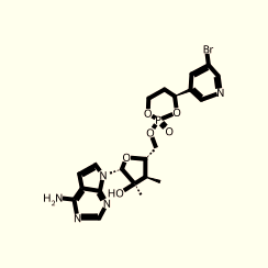 C[C@@H]1[C@@H](COP2(=O)OCC[C@@H](c3cncc(Br)c3)O2)O[C@@H](n2ccc3c(N)ncnc32)[C@]1(C)O